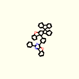 c1ccc(-c2nc(-c3cccc(-c4c5c(cc6oc7ccccc7c46)C4(c6ccccc6-c6ccccc64)c4ccccc4-5)c3)c3oc4ccccc4c3n2)cc1